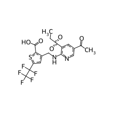 CCS(=O)(=O)c1cc(C(C)=O)cnc1NCc1cc(C(F)(F)C(F)(F)F)sc1C(=O)O